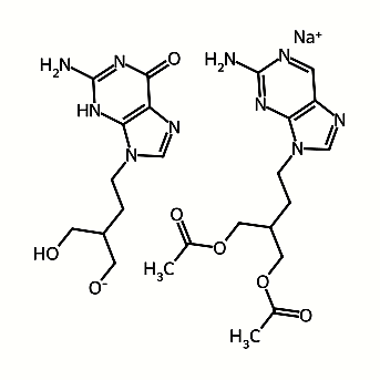 CC(=O)OCC(CCn1cnc2cnc(N)nc21)COC(C)=O.Nc1nc(=O)c2ncn(CCC(C[O-])CO)c2[nH]1.[Na+]